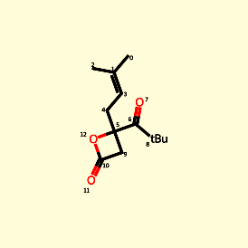 CC(C)=CCC1(C(=O)C(C)(C)C)CC(=O)O1